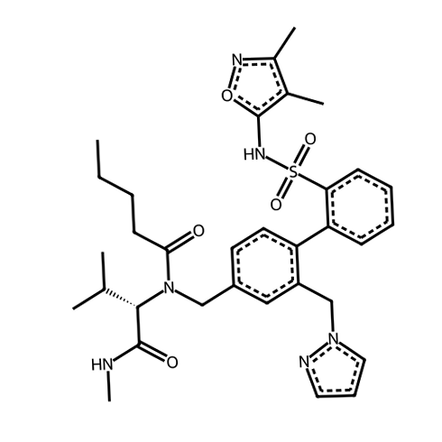 CCCCC(=O)N(Cc1ccc(-c2ccccc2S(=O)(=O)Nc2onc(C)c2C)c(Cn2cccn2)c1)[C@H](C(=O)NC)C(C)C